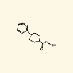 CC(C)(C)OC(=O)C1CCN(c2ncccn2)CC1